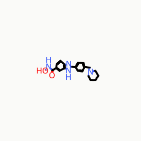 O=C(NO)c1ccc2nc(-c3ccc(CN4CCCCC4)cc3)[nH]c2c1